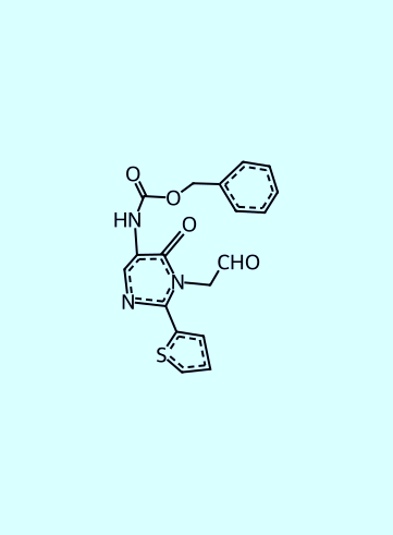 O=CCn1c(-c2cccs2)ncc(NC(=O)OCc2ccccc2)c1=O